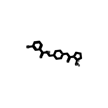 O=C(NCC1CCN(CC(=O)N2CCC[C@H]2C(F)(F)F)CC1)c1cccc(Cl)c1